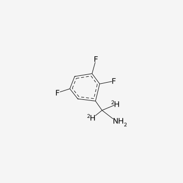 [2H]C([2H])(N)c1cc(F)cc(F)c1F